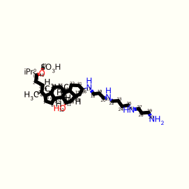 CC(C)[C@@H](CC[C@@H](C)C1CC[C@H]2[C@@H]3[C@H](O)C[C@H]4C[C@@H](NCCCNCCCCNCCCN)CC[C@]4(C)[C@H]3CC[C@]12C)OS(=O)(=O)O